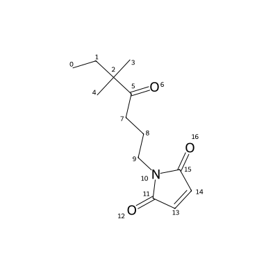 CCC(C)(C)C(=O)CCCN1C(=O)C=CC1=O